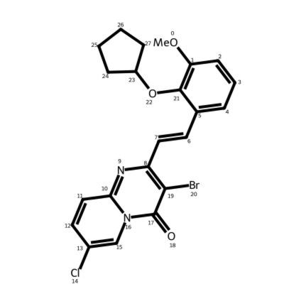 COc1cccc(C=Cc2nc3ccc(Cl)cn3c(=O)c2Br)c1OC1CCCC1